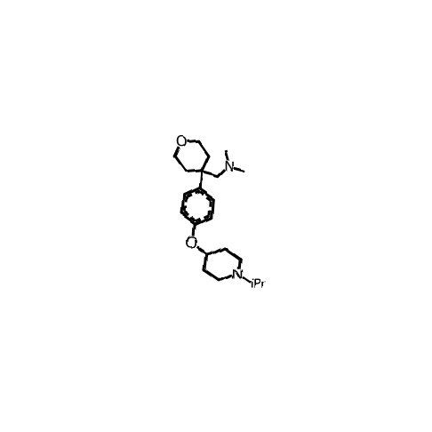 CC(C)N1CCC(Oc2ccc(C3(CN(C)C)CCOCC3)cc2)CC1